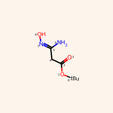 CC(C)(C)OC(=O)C/C(N)=N/O